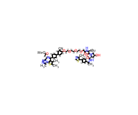 COC(=O)C[C@@H]1N=C(c2ccc(-c3ccc(OCCOCCOCCOCC(=O)NC(C(=O)N4C[C@H](O)C[C@H]4C(=O)N[C@@H](C)c4ccc(-c5scnc5C)cc4)C(C)(C)C)c(C#N)c3)cc2)c2c(sc(C)c2C)-n2c(C)nnc21